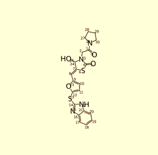 O=C(CN1C(=O)S/C(=C\c2ccc(Sc3nc4ccccc4[nH]3)o2)C1O)N1CCCC1